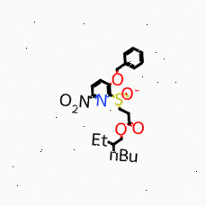 CCCCC(CC)COC(=O)CC[S+]([O-])c1nc([N+](=O)[O-])ccc1OCc1ccccc1